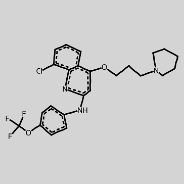 FC(F)(F)Oc1ccc(Nc2cc(OCCCN3CCCCC3)c3cccc(Cl)c3n2)cc1